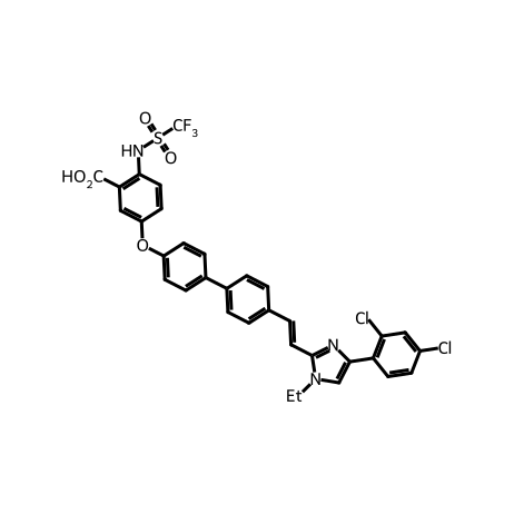 CCn1cc(-c2ccc(Cl)cc2Cl)nc1C=Cc1ccc(-c2ccc(Oc3ccc(NS(=O)(=O)C(F)(F)F)c(C(=O)O)c3)cc2)cc1